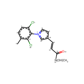 Cc1ccc(Cl)c(-n2ccc(C=CC(=O)N(C)O)c2)c1Cl